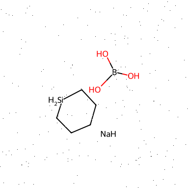 C1CC[SiH2]CC1.OB(O)O.[NaH]